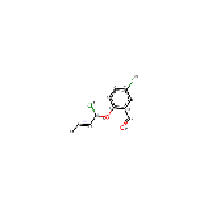 C/C=C/C(Cl)Oc1ccc(Cl)cc1C=O